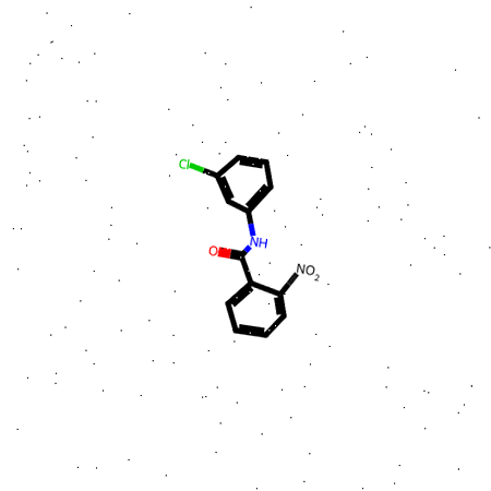 O=C(Nc1cccc(Cl)c1)c1ccccc1[N+](=O)[O-]